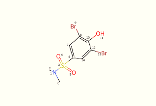 CN(C)S(=O)(=O)c1cc(Br)c(O)c(Br)c1